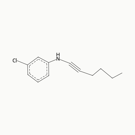 CCCCC#CNc1cccc(Cl)c1